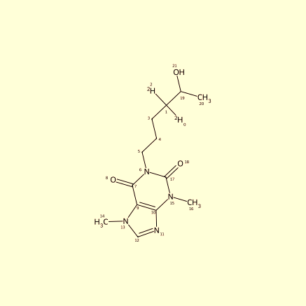 [2H]C([2H])(CCCn1c(=O)c2c(ncn2C)n(C)c1=O)C(C)O